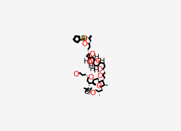 C=C(Br)C[C@H](CC[C@@]12C[C@H]3O[C@H]4[C@@H](O1)[C@H]1O[C@@H](CC(=O)C[C@@H]5[C@@H](C)[C@@H](C[C@H](C)CO[Si](C)(C)C(C)(C)C)O[C@H]5CC5O[C@@H](CCC=O)C[C@@H](C)C5=C)CC[C@@H]1O[C@H]4C3O2)OC(=O)c1ccccc1